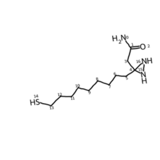 NC(=O)CC1(CCCCCCCCCS)NN1